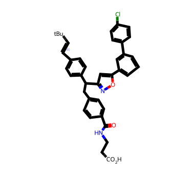 CC(C)(C)/C=C/c1ccc(C(Cc2ccc(C(=O)NCCC(=O)O)cc2)c2cc(-c3cccc(-c4ccc(Cl)cc4)c3)on2)cc1